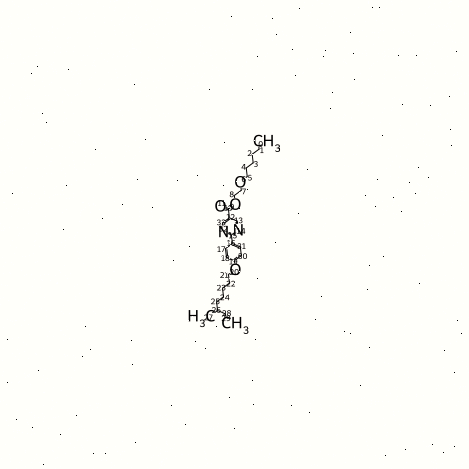 CCCCCCOCCOC(=O)c1cnc(-c2ccc(OCCCCCC(C)CC)cc2)nc1